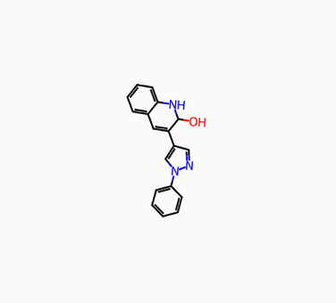 OC1Nc2ccccc2C=C1c1cnn(-c2ccccc2)c1